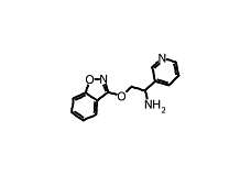 NC(COc1noc2ccccc12)c1cccnc1